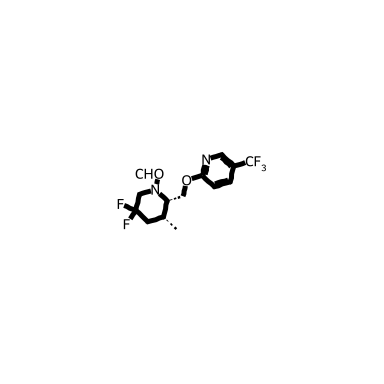 C[C@@H]1CC(F)(F)CN(C=O)[C@@H]1COc1ccc(C(F)(F)F)cn1